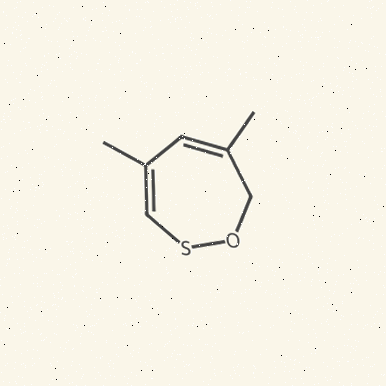 CC1=CSOCC(C)=C1